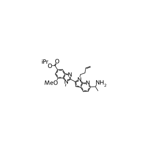 C=CCCn1c(-c2nc3cc(C(=O)OC(C)C)cc(OC)c3n2C)cc2ccc(C(C)N)nc21